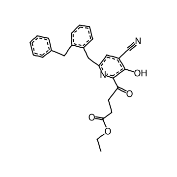 CCOC(=O)CCC(=O)c1nc(Cc2ccccc2Cc2ccccc2)cc(C#N)c1O